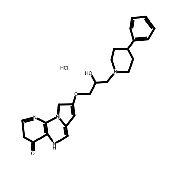 Cl.O=C1CC=NC2=C1NC=C1C=C(OCC(O)CN3CCC(c4ccccc4)CC3)CN12